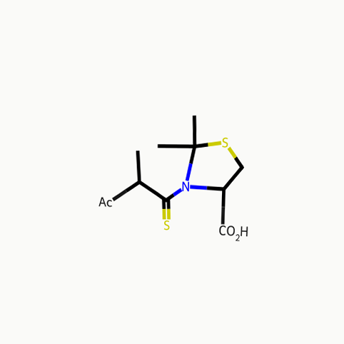 CC(=O)C(C)C(=S)N1C(C(=O)O)CSC1(C)C